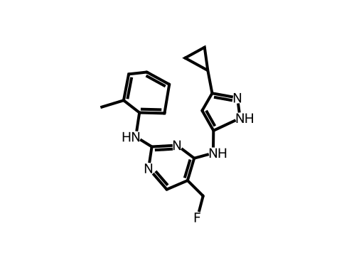 Cc1ccccc1Nc1ncc(CF)c(Nc2cc(C3CC3)n[nH]2)n1